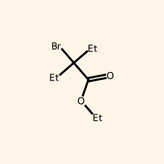 CCOC(=O)C(Br)(CC)CC